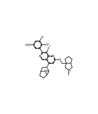 Oc1cc(Cl)c(C(F)(F)F)c(-c2ncc3c(N4CC5CCC(C4)N5)cc(OCC45CCCN4C[C@@H](F)C5)nc3c2F)c1